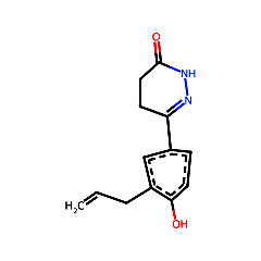 C=CCc1cc(C2=NNC(=O)CC2)ccc1O